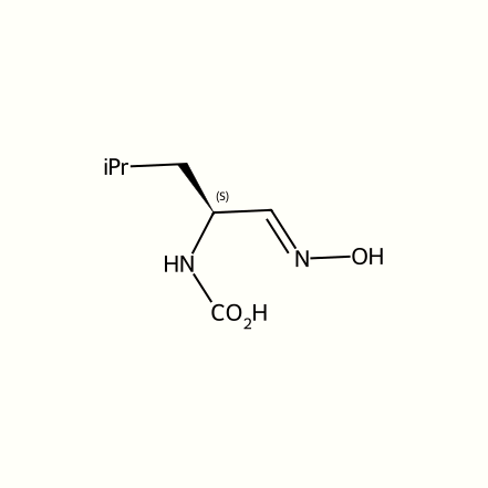 CC(C)C[C@@H](C=NO)NC(=O)O